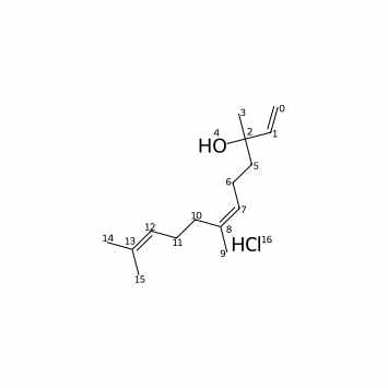 C=CC(C)(O)CCC=C(C)CCC=C(C)C.Cl